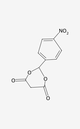 O=C1CC(=O)OC(c2ccc([N+](=O)[O-])cc2)O1